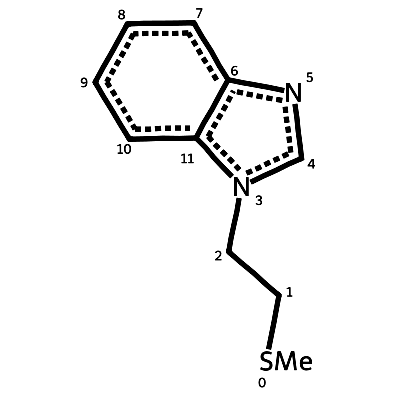 CSCCn1cnc2ccccc21